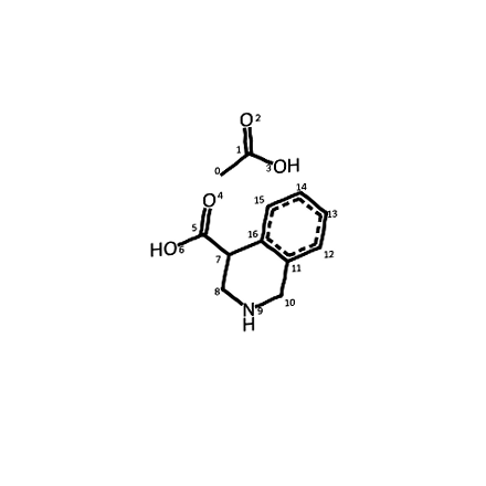 CC(=O)O.O=C(O)C1CNCc2ccccc21